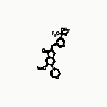 COc1cc2c(cc1N1CCOCC1)CC(Cc1cncc(C(O)(CF)C(F)(F)F)c1)C2=O